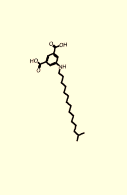 CC(C)CCCCCCCCCCCCCNc1cc(C(=O)O)cc(C(=O)O)c1